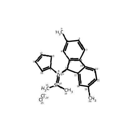 Cc1ccc2c(c1)[CH]([Zr+2]([C]1=CC=CC1)=[Si](C)C)c1cc(C)ccc1-2.[Cl-].[Cl-]